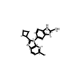 Cc1ccc2nc(C3CCC3)n(-c3ccc4c(c3)SC(O)N4)c2n1